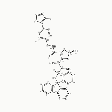 Cc1cc(-c2scnc2C)ccc1CNC(=O)[C@@H]1C[C@@H](O)CN1C(=O)C(N)C(C)(C)SC(c1ccccc1)(c1ccccc1)c1ccccc1